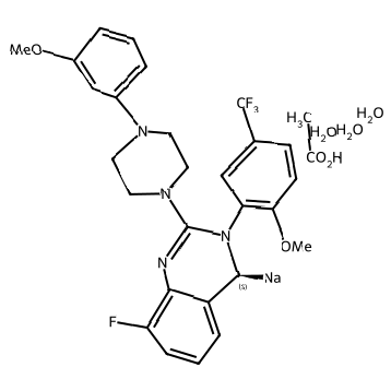 CC(=O)O.COc1cccc(N2CCN(C3=Nc4c(F)cccc4[C@H]([Na])N3c3cc(C(F)(F)F)ccc3OC)CC2)c1.O.O.O